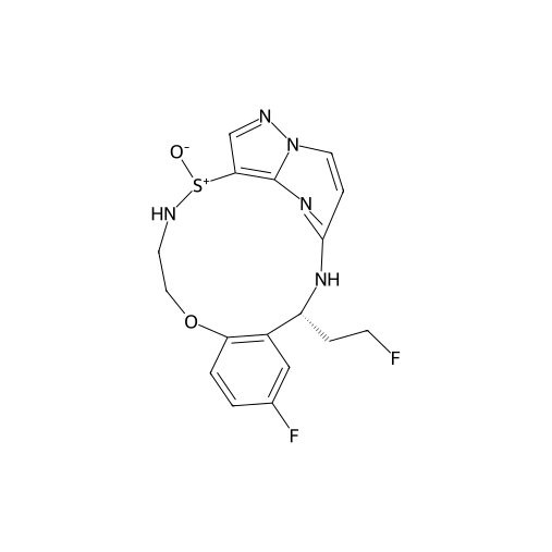 [O-][S+]1NCCOc2ccc(F)cc2[C@@H](CCF)Nc2ccn3ncc1c3n2